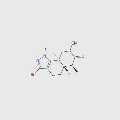 C[C@@H]1C(=O)C(C#N)C[C@]2(C)c3c(c(Br)nn3C)CC[C@@H]12